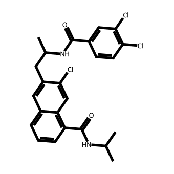 CC(C)NC(=O)c1cccc2cc(CC(C)NC(=O)c3ccc(Cl)c(Cl)c3)c(Cl)cc12